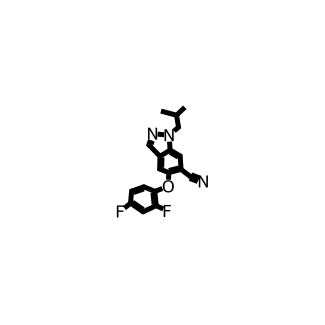 CC(C)Cn1ncc2cc(Oc3ccc(F)cc3F)c(C#N)cc21